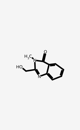 Cn1c(CO)nc2ccccc2c1=O